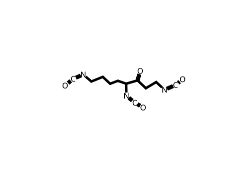 O=C=NCCCCC(N=C=O)C(=O)CCN=C=O